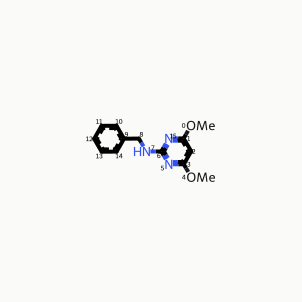 COc1cc(OC)nc(NCc2ccccc2)n1